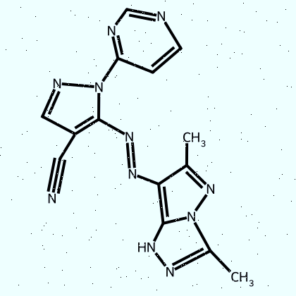 Cc1nn2c(C)n[nH]c2c1/N=N/c1c(C#N)cnn1-c1ccncn1